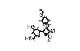 CCOc1ccc(Cc2cc(C3CC(O)CC(CO)O3)cc(OC)c2Cl)cc1